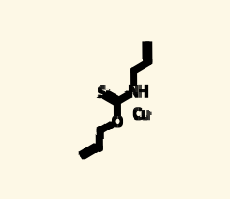 C=CCNC(=S)OCC=C.[Cu]